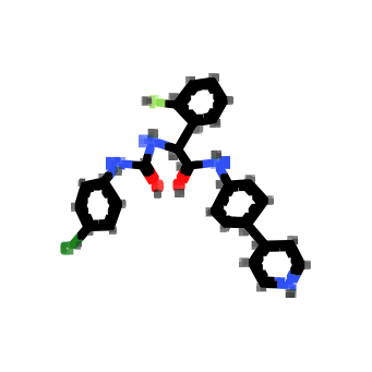 O=C(Nc1ccc(Cl)cc1)NC(C(=O)Nc1ccc(-c2ccncc2)cc1)c1ccccc1F